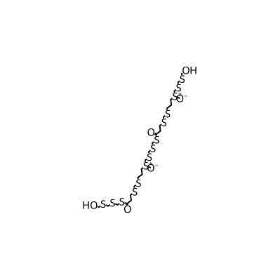 O=C(CCSCSCCC[S+]([O-])CSCSCSC(=O)CCSCSCCC[S+]([O-])CSCSCO)SCSCSCO